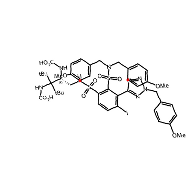 COc1ccc(CN(Cc2ccc(OC)cc2)S(=O)(=O)c2c(S(=O)(=O)NC[C@@H](NC(=O)O)C(NC(=O)O)(C(C)(C)C)C(C)(C)C)ccc(I)c2-c2nnn(Cc3ccc(OC)cc3)n2)cc1